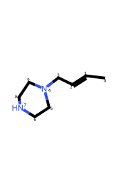 CC=CCN1CCNCC1